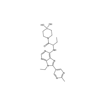 CCC(Nc1ncnc2c1nc(-c1cnc(C)nc1)n2CC)C(=O)N1CCS(O)(O)CC1